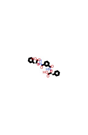 O=C(NO[C@H](Cc1ccccc1)C(=O)O)c1cccc(C(=O)NO[C@H](Cc2ccccc2)C(=O)O)c1